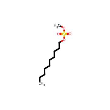 CCCCCCCCCCOS(=O)(=O)OC